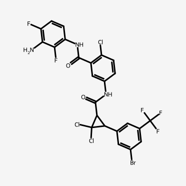 Nc1c(F)ccc(NC(=O)c2cc(NC(=O)C3C(c4cc(Br)cc(C(F)(F)F)c4)C3(Cl)Cl)ccc2Cl)c1F